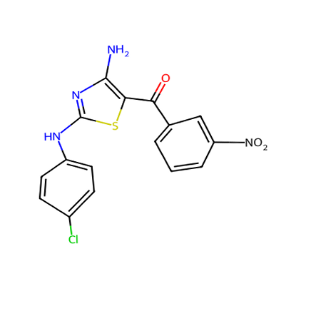 Nc1nc(Nc2ccc(Cl)cc2)sc1C(=O)c1cccc([N+](=O)[O-])c1